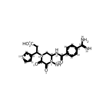 CCCN1C(=O)C(=O)N(C(CC(=O)O)c2ccsc2)CC1NC(=O)c1ccc(C(=N)N)cc1